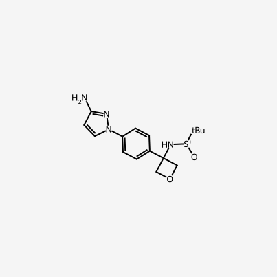 CC(C)(C)[S+]([O-])NC1(c2ccc(-n3ccc(N)n3)cc2)COC1